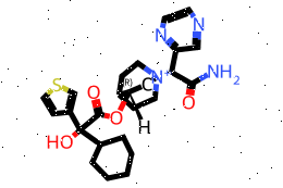 NC(=O)C(c1cnccn1)[N+]12CCC(CC1)[C@@H](OC(=O)C(O)(c1ccsc1)C1CCCCC1)C2